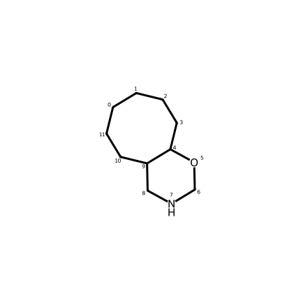 C1CCCC2OCNCC2CC1